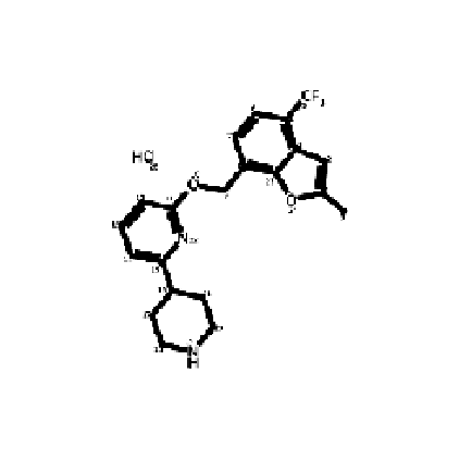 Cc1cc2c(C(F)(F)F)ccc(COc3cccc(C4CCNCC4)n3)c2o1.Cl